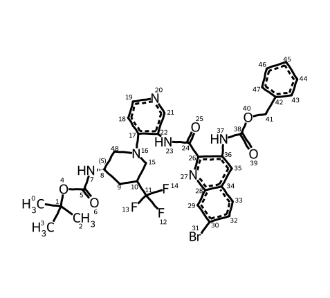 CC(C)(C)OC(=O)N[C@H]1CC(C(F)(F)F)CN(c2ccncc2NC(=O)c2nc3cc(Br)ccc3cc2NC(=O)OCc2ccccc2)C1